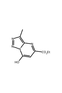 CCOC(=O)c1cc(O)n2nnc(C)c2n1